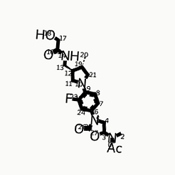 CC(=O)N(C)C1CN(c2ccc(N3C[C@@H](CNC(=O)CO)[C@H](C)C3)c(F)c2)C(=O)O1